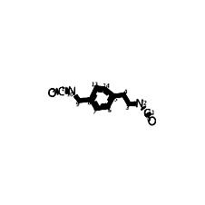 O=C=NCCc1ccc(CN=C=O)cc1